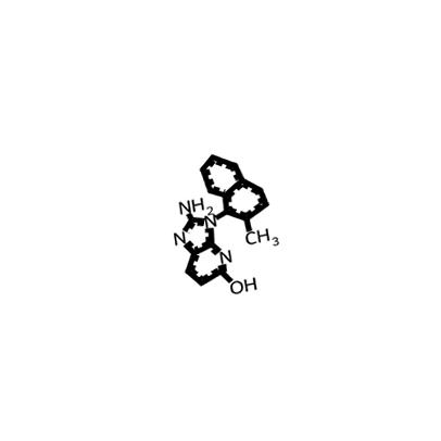 Cc1ccc2ccccc2c1-n1c(N)nc2ccc(O)nc21